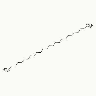 O=C(O)C=CCCCCCCCCCCCCCCCCCCCCCCC(=O)O